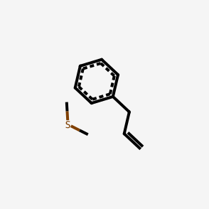 C=CCc1ccccc1.CSC